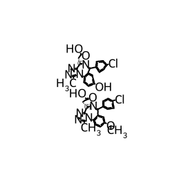 COc1ccc2c(c1)C(c1ccc(Cl)cc1)=N[C@@H](CC(=O)O)c1nnc(C)n1-2.Cc1nnc2n1-c1ccc(O)cc1C(c1ccc(Cl)cc1)=N[C@H]2CC(=O)O